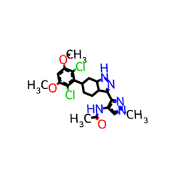 COc1cc(OC)c(Cl)c(C2CCC3C(c4nn(C)cc4NC(C)=O)=NNC3C2)c1Cl